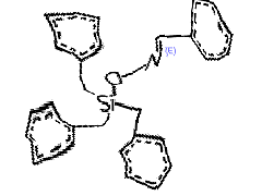 C(=N\O[Si](Cc1ccccc1)(Cc1ccccc1)Cc1ccccc1)/c1ccccc1